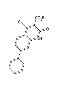 CCOC(=O)c1c(Cl)c2ccc(-c3ccccc3)cc2[nH]c1=O